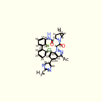 CC(=O)c1nn(CC(=O)N2C3C[C@@H]3C[C@H]2C(=O)Nc2cccc(-c3ccccc3Cl)c2F)c2ccc(-c3cnc(C)nc3)cc12